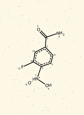 NC(=O)c1ccc([NH+]([O-])O)c(F)c1